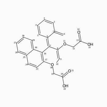 C=c1cccc/c1=C(/C(=C\C)OCC(=O)O)c1c(OCC(=O)O)ccc2ccccc12